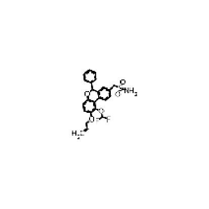 C=CCOc1ccc2c(c1OC(F)F)-c1ccc(CS(N)(=O)=O)cc1C(c1ccccc1)O2